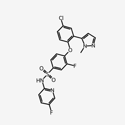 Cn1nccc1-c1cc(Cl)ccc1Oc1ccc(S(=O)(=O)Nc2ccc(F)cn2)cc1F